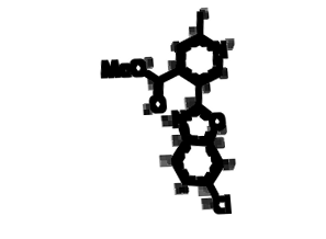 COC(=O)c1cc(C)ncc1-c1nc2ccc(Cl)cc2o1